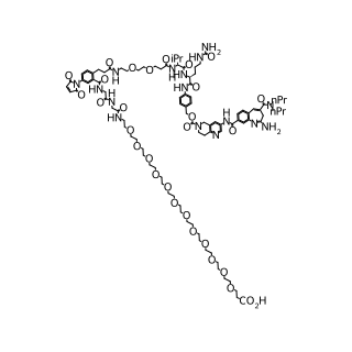 CCCN(CCC)C(=O)C1=Cc2ccc(C(=O)Nc3cnc4c(c3)CN(C(=O)OCc3ccc(NC(=O)[C@H](CCCNC(N)=O)NC(=O)[C@@H](NC(=O)CCOCCOCCNC(=O)CCc5ccc(N6C(=O)C=CC6=O)cc5C(=O)NCC(=O)NCC(=O)NCCOCCOCCOCCOCCOCCOCCOCCOCCOCCOCCOCCOCCC(=O)O)C(C)C)cc3)CC4)cc2N=C(N)C1